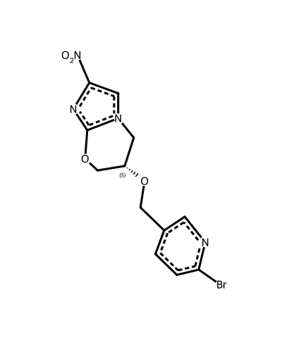 O=[N+]([O-])c1cn2c(n1)OC[C@@H](OCc1ccc(Br)nc1)C2